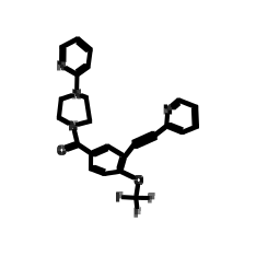 O=C(c1ccc(OC(F)(F)F)c(C#Cc2ccccn2)c1)N1CCN(c2ccccn2)CC1